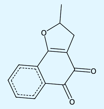 CC1CC2=C(O1)c1ccccc1C(=O)C2=O